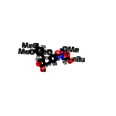 CCCCOC(=O)[C@H](C)NP(=O)(COC)Oc1ccc(C[C@H]2C(=O)OC[C@@H]2Cc2ccc(OC)c(OC)c2)cc1OC